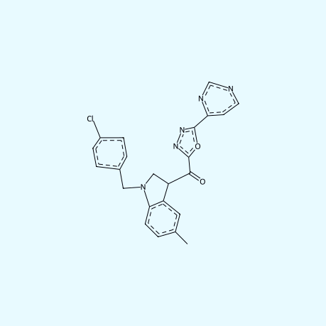 Cc1ccc2c(c1)C(C(=O)c1nnc(-c3ccncn3)o1)CN2Cc1ccc(Cl)cc1